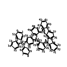 c1ccc([Si](c2ccccc2)(c2ccccc2)c2ccc(-n3c4ccccc4n4c5ccccc5c5ccc6c7ccccc7n(c7ccccc73)c6c54)cc2)cc1